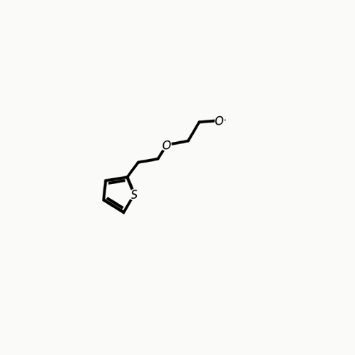 [O]CCOCCc1cccs1